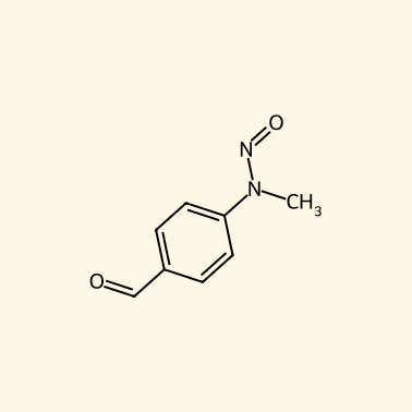 CN(N=O)c1ccc(C=O)cc1